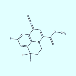 COC(=O)C1=CC(=C=O)c2cc(F)cc3c2N1CCC3(F)F